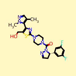 Cc1cnn(C)c1-c1nc(N2CCN(C(=O)N3N=CC[C@H]3c3cc(F)cc(F)c3)CC2)sc1CO